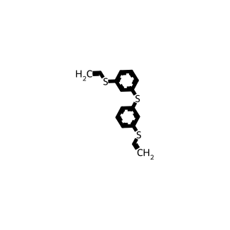 C=CSc1cccc(Sc2cccc(SC=C)c2)c1